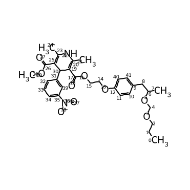 CCCOCOC(C)Cc1ccc(OCCOC(=O)C2=C(C)NC(C)=C(C(=O)OC)C2c2cccc([N+](=O)[O-])c2)cc1